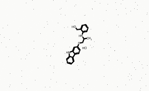 CC(COc1ccc2c(c1)[nH]c1ccccc12)Nc1ccccc1CO.Cl